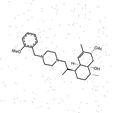 COc1ccccc1CN1CCN(CC(C)[C@@H]2CC[C@@H](C)[C@]3(O)[CH][C@@H](OC(C)=O)C(C)=C[C@H]23)CC1